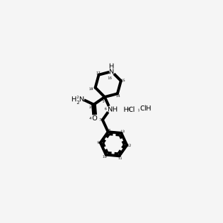 Cl.Cl.NC(=O)C1(NCc2ccccc2)CCNCC1